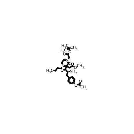 CCCCN1CCN(CC(=O)OC(C)(C)C)C(=O)C1(CC(=O)OC)C(=O)[C@@H](N)Cc1ccc(OC(C)=O)cc1